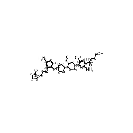 CC[C@H]1CN(c2nc(N)c(C(=O)NCCO)nc2Cl)CCN1C1CCN(Cc2ccc(N)cc2OCCN2CCCC2=O)CC1